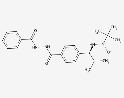 CC(C)[C@H](N[S@@+]([O-])C(C)(C)C)c1ccc(C(=O)NNC(=O)c2ccccc2)cc1